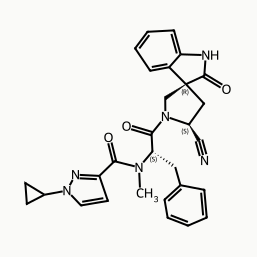 CN(C(=O)c1ccn(C2CC2)n1)[C@@H](Cc1ccccc1)C(=O)N1C[C@]2(C[C@H]1C#N)C(=O)Nc1ccccc12